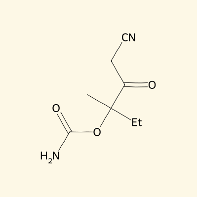 CCC(C)(OC(N)=O)C(=O)CC#N